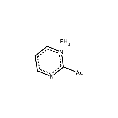 CC(=O)c1ncccn1.P